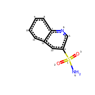 NS(=O)(=O)c1cnc2ccccc2c1